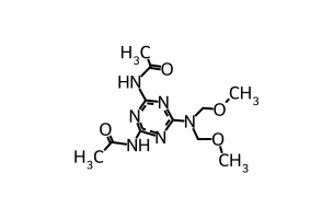 COCN(COC)c1nc(NC(C)=O)nc(NC(C)=O)n1